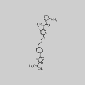 CC(C)c1noc(N2CCC(CCCOc3ccc([C@H](N)C(=O)N4CCCC4N)c(F)c3)CC2)n1